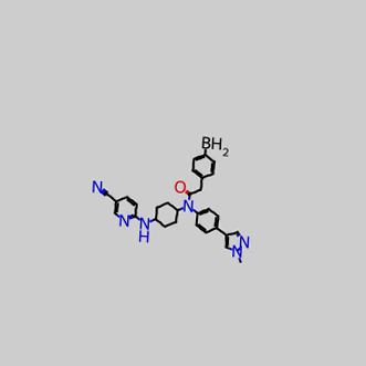 Bc1ccc(CC(=O)N(c2ccc(-c3cnn(C)c3)cc2)C2CCC(Nc3ccc(C#N)cn3)CC2)cc1